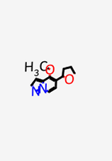 COc1c(C2CCCO2)ccn2nccc12